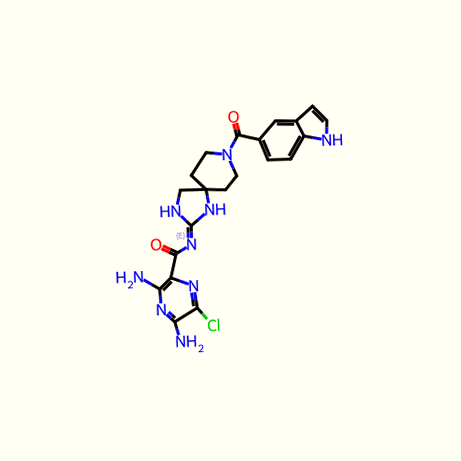 Nc1nc(N)c(C(=O)/N=C2\NCC3(CCN(C(=O)c4ccc5[nH]ccc5c4)CC3)N2)nc1Cl